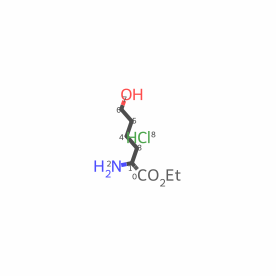 CCOC(=O)C(N)CCCCO.Cl